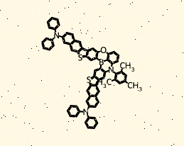 Cc1cc(C)c(N2c3cc4c(cc3B3c5cc6sc7cc8cc(N(c9ccccc9)c9ccccc9)ccc8cc7c6cc5Oc5cccc2c53)sc2cc3cc(N(c5ccccc5)c5ccccc5)ccc3cc24)c(C)c1